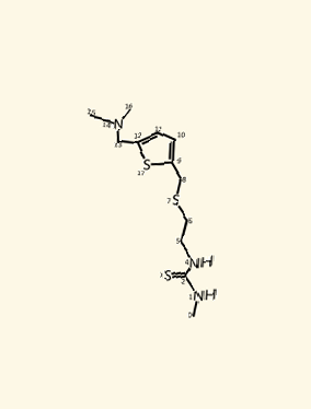 CNC(=S)NCCSCc1ccc(CN(C)C)s1